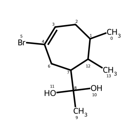 CC1CC=C(Br)CC(C(C)(O)O)C1C